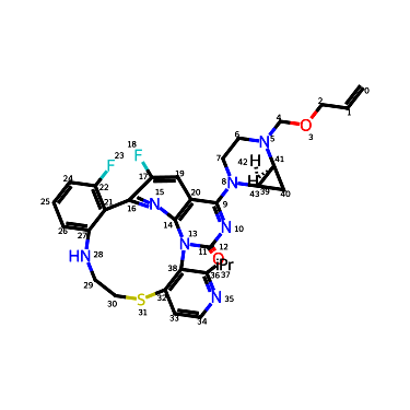 C=CCOCN1CCN(c2nc(=O)n3c4nc(c(F)cc24)-c2c(F)cccc2NCCSc2ccnc(C(C)C)c2-3)[C@@H]2C[C@@H]21